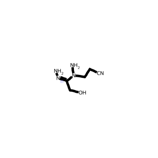 N#CCCN(N)/C(CO)=N\N